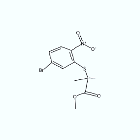 COC(=O)C(C)(C)Sc1cc(Br)ccc1[N+](=O)[O-]